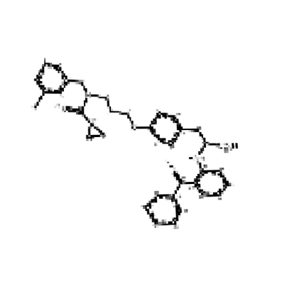 Cc1cccc(CN(CCCOc2ccc(CC(Nc3ccccc3C(=O)c3ccccc3)C(=O)O)cc2)C(=O)C2CC2)c1